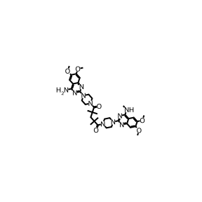 CNc1nc(N2CCN(C(=O)C(C)(C)CC(C)(C)C(=O)N3CCN(c4nc(N)c5cc(OC)c(OC)cc5n4)CC3)CC2)nc2cc(OC)c(OC)cc12